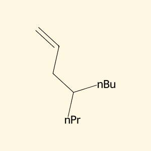 C=CCC(CCC)CCCC